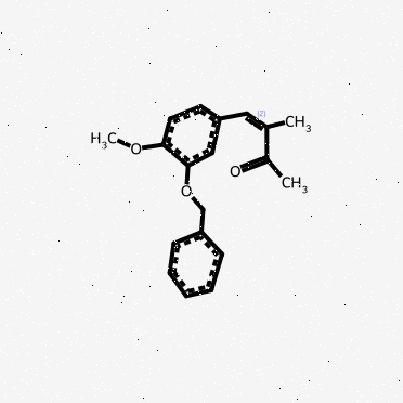 COc1ccc(/C=C(/C)C(C)=O)cc1OCc1ccccc1